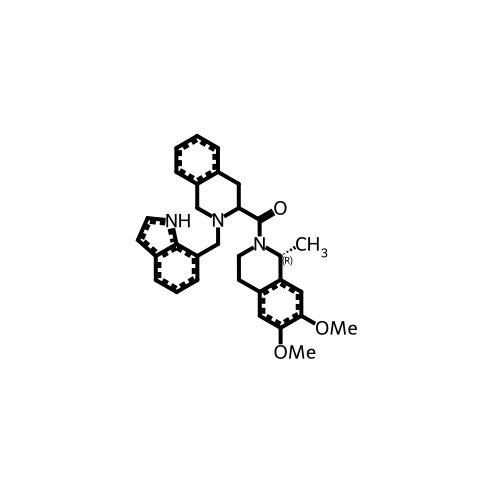 COc1cc2c(cc1OC)[C@@H](C)N(C(=O)C1Cc3ccccc3CN1Cc1cccc3cc[nH]c13)CC2